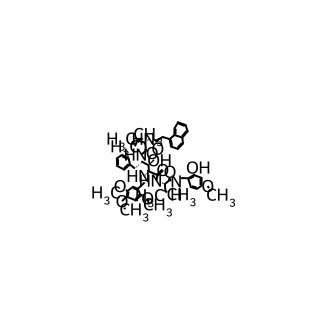 COc1ccc(CNC(=O)[C@@H](NC(=O)[C@H](NCc2cc(OC)c(OC)cc2OC)[C@H](O)[C@H](Cc2ccccc2)NC(=O)[C@@H](NC(=O)Cc2cccc3ccccc23)C(C)(C)C)C(C)C)c(O)c1